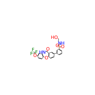 O=C1Nc2cc(OC(F)(F)F)ccc2Oc2ccc(-c3cccc(S(=O)(=O)NCCO)c3)cc21